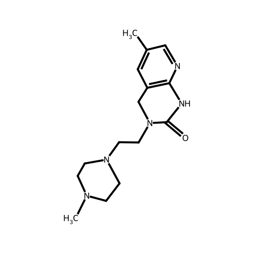 Cc1cnc2c(c1)CN(CCN1CCN(C)CC1)C(=O)N2